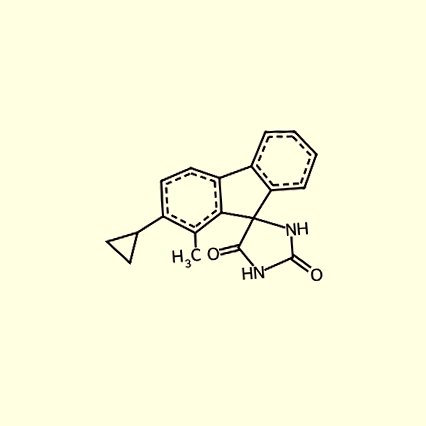 Cc1c(C2CC2)ccc2c1C1(NC(=O)NC1=O)c1ccccc1-2